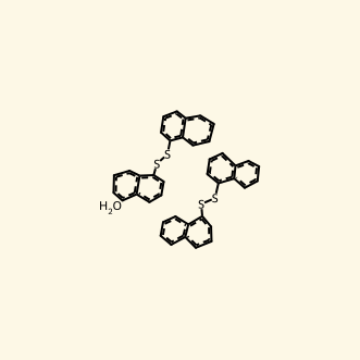 O.c1ccc2c(SSc3cccc4ccccc34)cccc2c1.c1ccc2c(SSc3cccc4ccccc34)cccc2c1